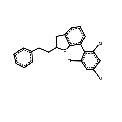 Clc1cc(Cl)c(-c2cccc3c2OC(CCc2ccccc2)C3)c(Cl)c1